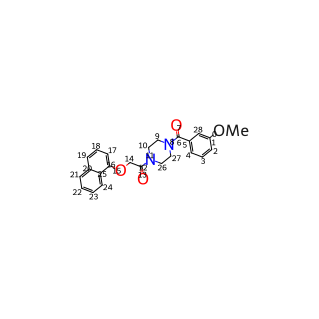 COc1cccc(C(=O)N2CCN(C(=O)COc3cccc4ccccc34)CC2)c1